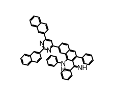 N=C(c1ccccc1)c1c(-c2ccccc2)cc2ccc(-c3cc(-c4ccc5ccccc5c4)nc(-c4ccc5ccccc5c4)n3)cc2c1Nc1ccccc1